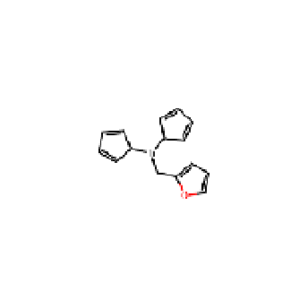 C1=C[CH]([Ti]([CH2]c2ccco2)[CH]2C=CC=C2)C=C1